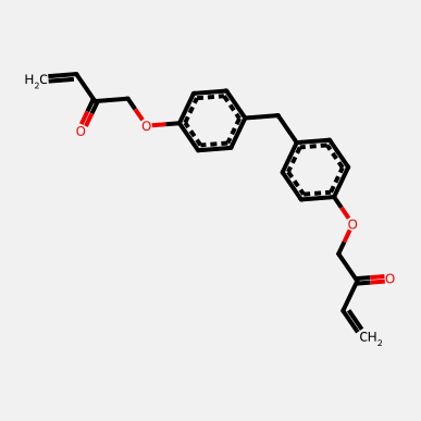 C=CC(=O)COc1ccc(Cc2ccc(OCC(=O)C=C)cc2)cc1